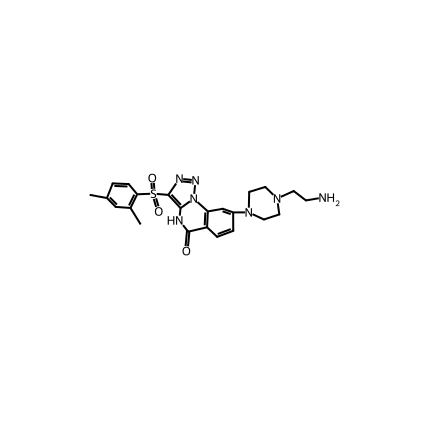 Cc1ccc(S(=O)(=O)c2nnn3c2[nH]c(=O)c2ccc(N4CCN(CCN)CC4)cc23)c(C)c1